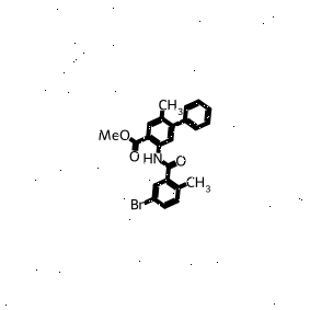 COC(=O)c1cc(C)c(-c2ccccc2)cc1NC(=O)c1cc(Br)ccc1C